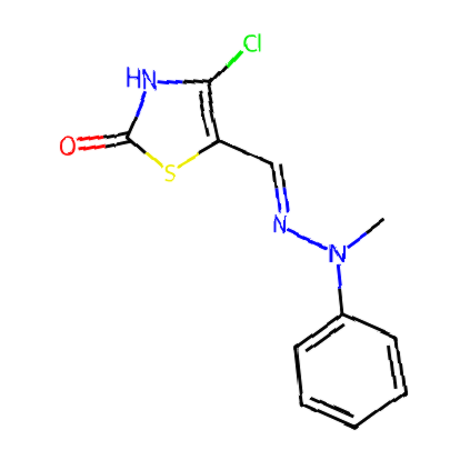 CN(/N=C/c1sc(=O)[nH]c1Cl)c1ccccc1